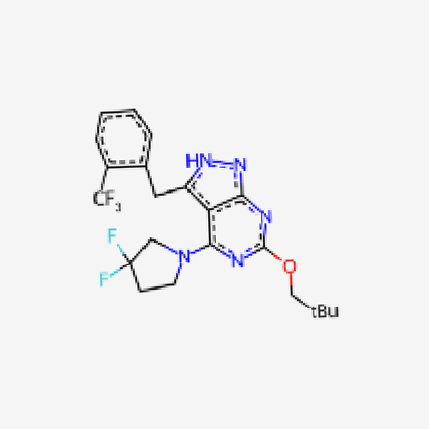 CC(C)(C)COc1nc(N2CCC(F)(F)C2)c2c(Cc3ccccc3C(F)(F)F)[nH]nc2n1